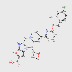 O=C(O)c1cc2c(nc(CN3CC=C(c4cncc(OCc5ccc(Cl)cc5F)n4)CC3)n2CC2CCO2)o1